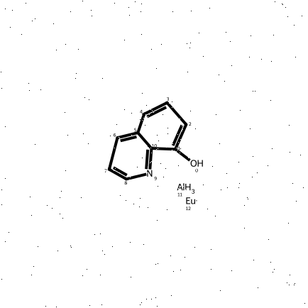 Oc1cccc2cccnc12.[AlH3].[Eu]